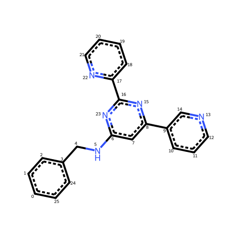 c1ccc(CNc2cc(-c3cccnc3)nc(-c3ccccn3)n2)cc1